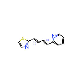 C(/C=C/c1nccs1)=C\c1ccccn1